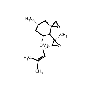 CO[C@@H]1C[C@H](C)C[C@]2(CO2)[C@H]1[C@@]1(C)O[C@@H]1CC=C(C)C